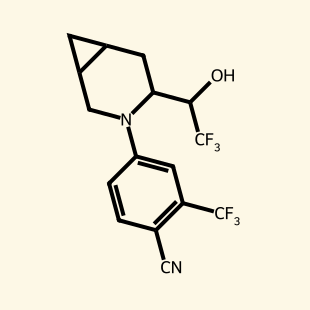 N#Cc1ccc(N2CC3CC3CC2C(O)C(F)(F)F)cc1C(F)(F)F